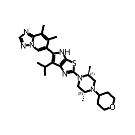 Cc1c(-c2[nH]c3sc(N4C[C@@H](C)N(C5CCOCC5)C[C@@H]4C)nc3c2C(C)C)cn2ncnc2c1C